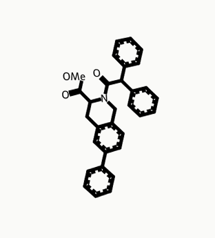 COC(=O)C1Cc2cc(-c3ccccc3)ccc2CN1C(=O)C(c1ccccc1)c1ccccc1